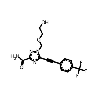 NC(=O)c1nc(C#Cc2ccc(C(F)(F)F)cc2)n(COCCO)n1